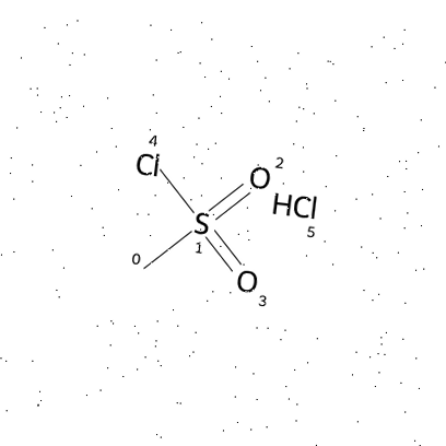 CS(=O)(=O)Cl.Cl